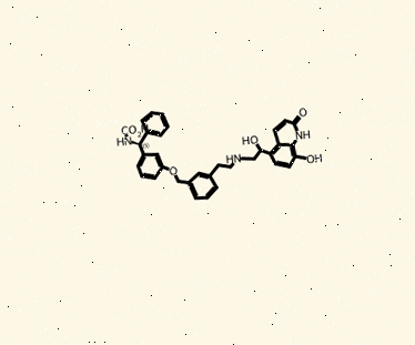 O=C(O)N[C@@H](c1ccccc1)c1cccc(OCc2cccc(CCNCC(O)c3ccc(O)c4[nH]c(=O)ccc34)c2)c1